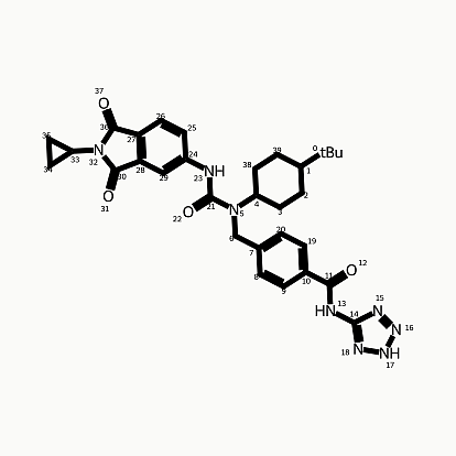 CC(C)(C)C1CCC(N(Cc2ccc(C(=O)Nc3nn[nH]n3)cc2)C(=O)Nc2ccc3c(c2)C(=O)N(C2CC2)C3=O)CC1